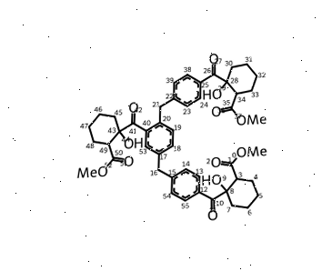 COC(=O)C1CCCCC1(O)C(=O)c1ccc(Cc2ccc(Cc3ccc(C(=O)C4(O)CCCCC4C(=O)OC)cc3)c(C(=O)C3(O)CCCCC3C(=O)OC)c2)cc1